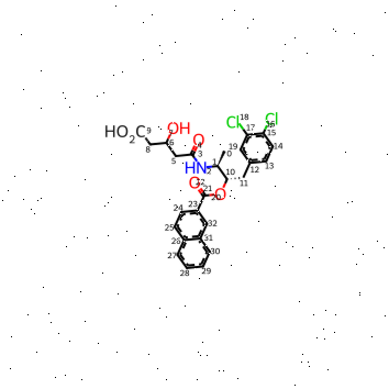 C[C@H](NC(=O)CC(O)CC(=O)O)[C@H](Cc1ccc(Cl)c(Cl)c1)OC(=O)c1ccc2ccccc2c1